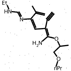 C#CC(/C=C(/N=C/NCC)C(=C)C)=C(/N)OC(C)COCCC